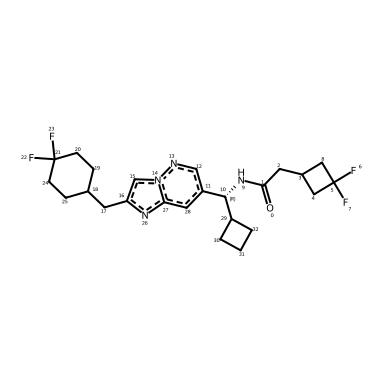 O=C(CC1CC(F)(F)C1)N[C@@H](c1cnn2cc(CC3CCC(F)(F)CC3)nc2c1)C1CCC1